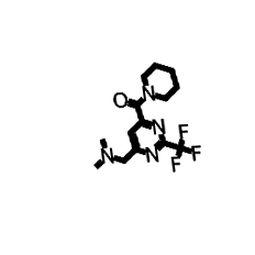 CN(C)Cc1cc(C(=O)N2CCCCC2)nc(C(F)(F)F)n1